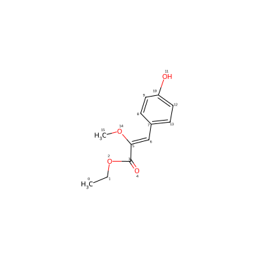 CCOC(=O)C(=Cc1ccc(O)cc1)OC